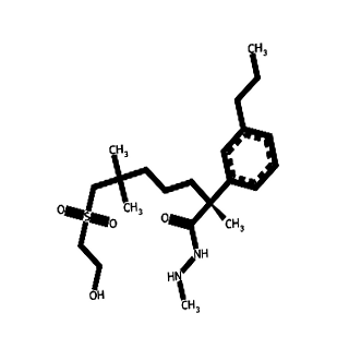 CCCc1cccc([C@@](C)(CCCC(C)(C)CS(=O)(=O)CCO)C(=O)NNC)c1